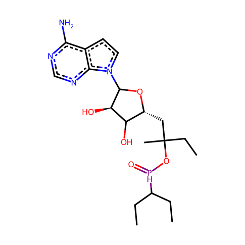 CCC(CC)[PH](=O)OC(C)(CC)C[C@H]1OC(n2ccc3c(N)ncnc32)[C@H](O)C1O